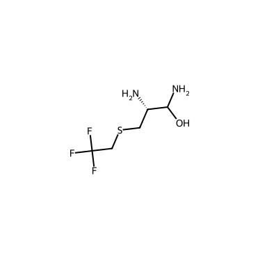 NC(O)[C@@H](N)CSCC(F)(F)F